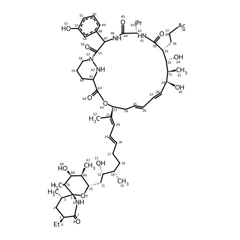 CC[C@H]1C[C@H](C)[C@@]2(NC1=O)O[C@@H](C[C@H](O)[C@@H](C)CC/C=C/C=C(\C)[C@@H]1C/C=C/C=C/[C@H](O)[C@H](C)[C@@H](O)[C@@H](CCC(C)=O)C(=O)N[C@@H](C(C)C)C(=O)NC(c3cccc(O)c3)C(=O)N3CCCC(N3)C(=O)O1)[C@H](C)[C@H](O)[C@@H]2C